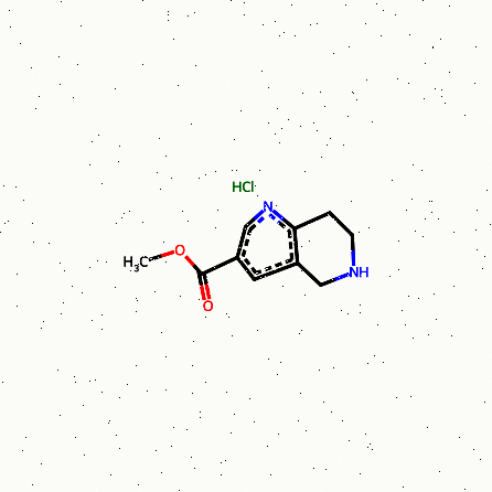 COC(=O)c1cnc2c(c1)CNCC2.Cl